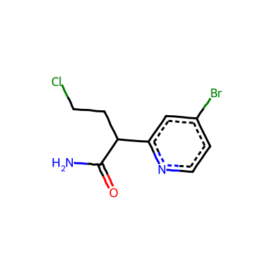 NC(=O)C(CCCl)c1cc(Br)ccn1